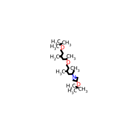 C=C(CCOC(C)(C)C)CC(C)OCCC(C)CC(CC)N1CC(OC(C)(C)C)C1